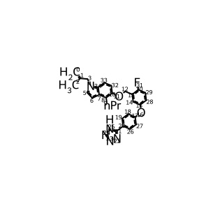 C=C(C)Cn1ccc2c(CCC)c(OCc3cc(Oc4ccc(-c5nnn[nH]5)cc4)ccc3F)ccc21